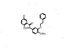 COc1ccc(NC(=O)c2cc(Cl)ccc2O)cc1OCCc1ccccc1